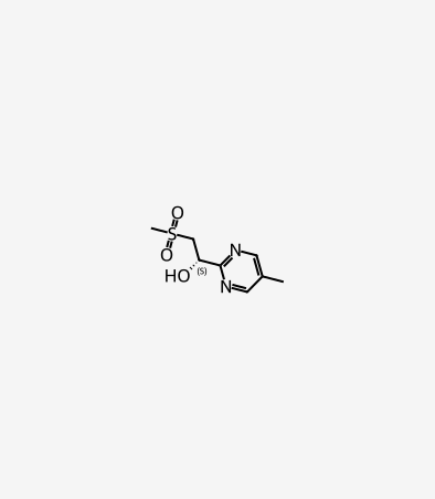 Cc1cnc([C@H](O)CS(C)(=O)=O)nc1